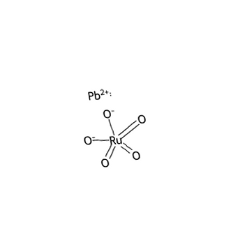 [O]=[Ru](=[O])(=[O])([O-])[O-].[Pb+2]